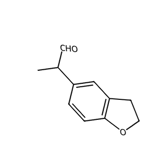 CC(C=O)c1ccc2c(c1)CCO2